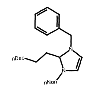 CCCCCCCCCCCCC1N(CCCCCCCCC)C=CN1Cc1ccccc1